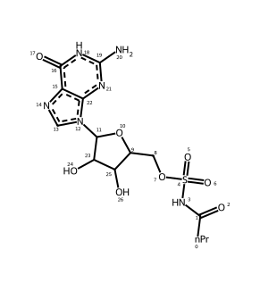 CCCC(=O)NS(=O)(=O)OCC1OC(n2cnc3c(=O)[nH]c(N)nc32)C(O)C1O